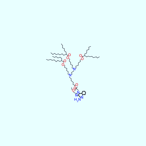 CCCCCCCCC(CCCCCC)C(=O)OCCCCCCN(CCCCCCOC(=O)C(CCCCCC)CCCCCCCC)CCCN(CCCCCCOC(=O)C(CCCCCC)CCCCCCCC)CCCCCC(=O)OC(C)(C)Cn1c(COCC)nc2c(N)nc3ccccc3c21